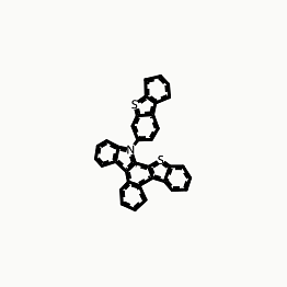 c1ccc2c(c1)sc1cc(-n3c4ccccc4c4c5ccccc5c5c6ccccc6sc5c43)ccc12